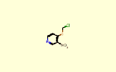 O=[N+]([O-])c1cnccc1SCCl